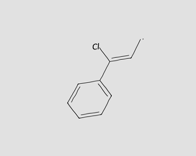 [CH2]C=C(Cl)c1ccccc1